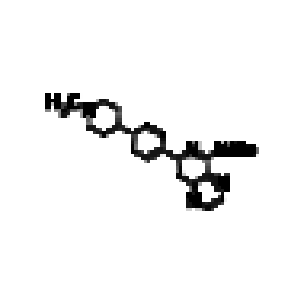 CNc1nc(-c2ccc(C3CCN(C)CC3)cc2)cc2nccnc12